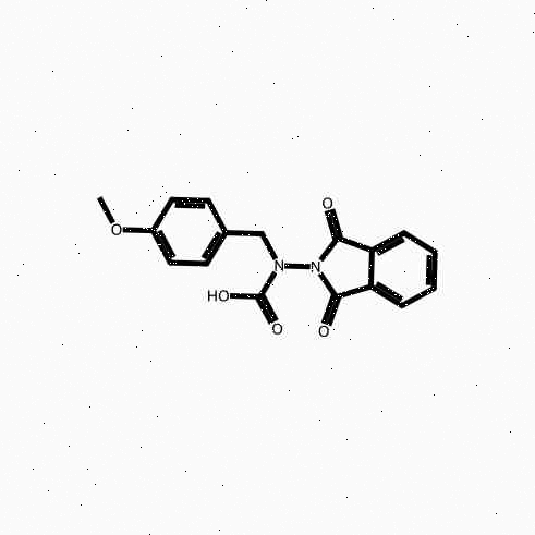 COc1ccc(CN(C(=O)O)N2C(=O)c3ccccc3C2=O)cc1